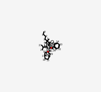 CCCCC(C)(C)C(=O)N[C@@H](CCN1C2CCC1CC(N1C(C(C)C)=NNC1C)C2)c1ccccc1